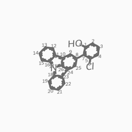 Oc1cccc(Cl)c1-c1cc2c3ccccc3n3c4ccccc4c(c1)c23